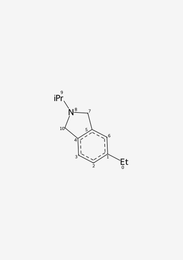 CCc1ccc2c(c1)CN(C(C)C)C2